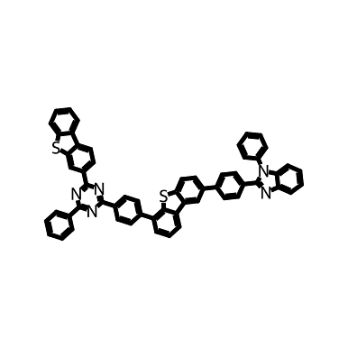 c1ccc(-c2nc(-c3ccc(-c4cccc5c4sc4ccc(-c6ccc(-c7nc8ccccc8n7-c7ccccc7)cc6)cc45)cc3)nc(-c3ccc4c(c3)sc3ccccc34)n2)cc1